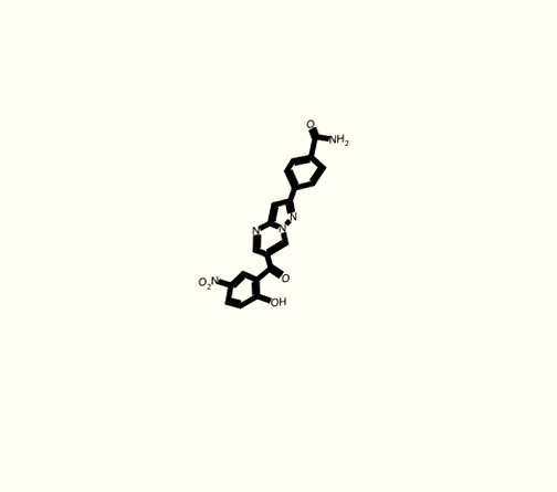 NC(=O)c1ccc(-c2cc3ncc(C(=O)c4cc([N+](=O)[O-])ccc4O)cn3n2)cc1